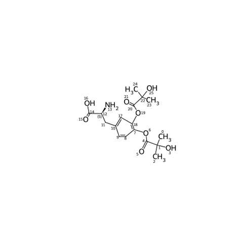 CC(C)(O)C(=O)Oc1ccc(C[C@H](N)C(=O)O)cc1OC(=O)C(C)(C)O